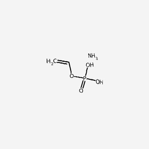 C=COP(=O)(O)O.N